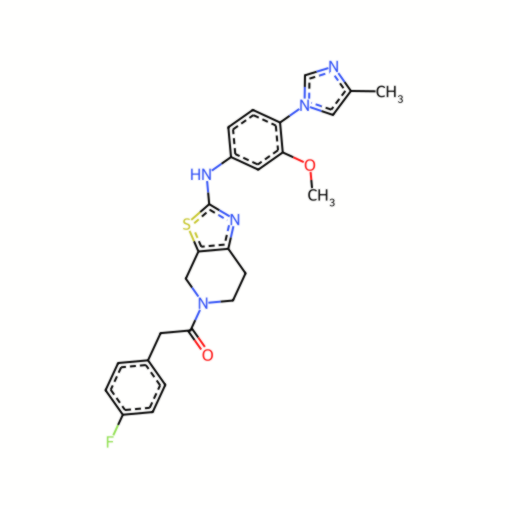 COc1cc(Nc2nc3c(s2)CN(C(=O)Cc2ccc(F)cc2)CC3)ccc1-n1cnc(C)c1